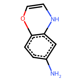 Nc1ccc2c(c1)NC=CO2